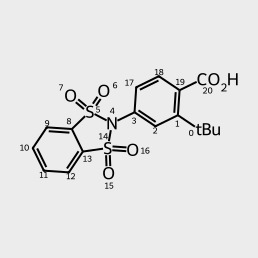 CC(C)(C)c1cc(N2S(=O)(=O)c3ccccc3S2(=O)=O)ccc1C(=O)O